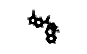 CC1(C)C2Cc3ccccc3[C@]1(C)CCN2C(=O)c1ccc2c(c1)C(=O)CC2